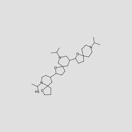 CC(C)N1CCC2(CCC(C3CN(C(C)C)CC4(CCC(C5CCN(C(C)S)C6(CCCO6)C5)O4)C3)O2)CC1